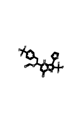 O=COC(Cc1ccc(C(F)(F)F)cc1)c1cc(=O)n2nc(C(F)(F)F)c(-c3cccs3)c2[nH]1